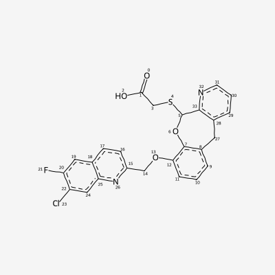 O=C(O)CSC1Oc2c(cccc2OCc2ccc3cc(F)c(Cl)cc3n2)Cc2cccnc21